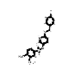 Cc1ccc(S(=O)(=O)Nc2ccc(SCc3ccc(Cl)cc3)nc2)cc1C(=O)O